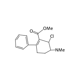 CNC1CCC(c2ccccc2)=C(C(=O)OC)C1Cl